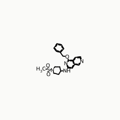 CS(=O)(=O)N1CCC(Nc2cc3cnccc3c(OCc3ccccc3)n2)CC1